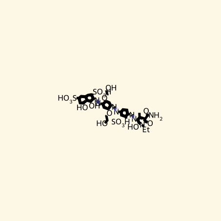 CCn1c(O)c(/N=N/c2ccc(/N=N/c3cc(OCCO)c(/N=N/c4c(S(=O)(=O)O)cc5cc(S(=O)(=O)O)cc(O)c5c4O)cc3OCCO)cc2S(=O)(=O)O)c(C)c(C(N)=O)c1=O